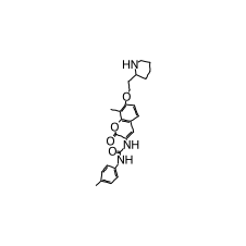 Cc1ccc(NC(=O)Nc2cc3ccc(OCCC4CCCCN4)c(C)c3oc2=O)cc1